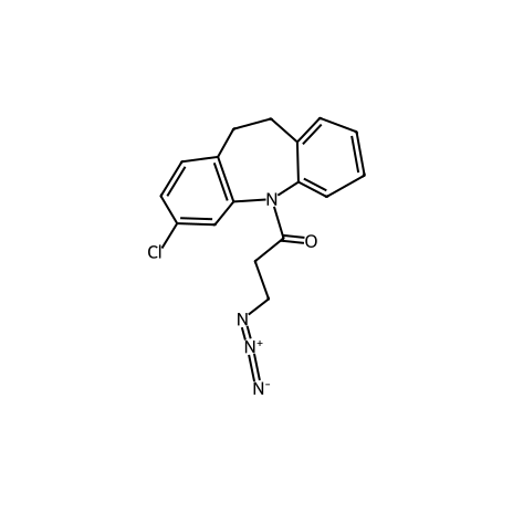 [N-]=[N+]=NCCC(=O)N1c2ccccc2CCc2ccc(Cl)cc21